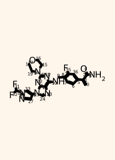 C=C(C(N)=O)c1ccc(CNc2nc(N3CCOCC3)nc3c2ncn3-c2cnn(C(F)F)c2)c(F)c1